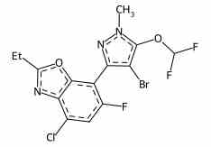 CCc1nc2c(Cl)cc(F)c(-c3nn(C)c(OC(F)F)c3Br)c2o1